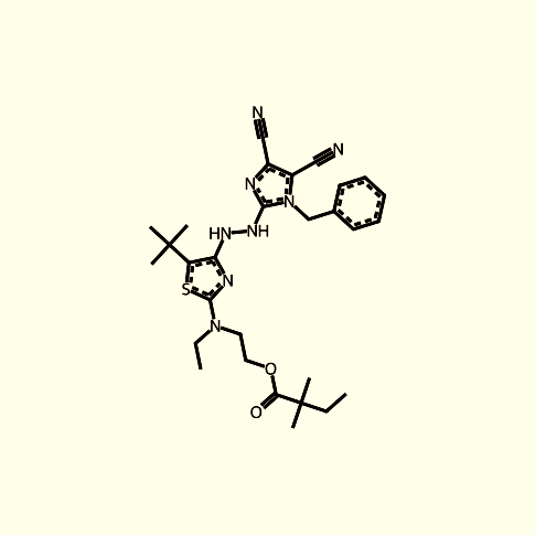 CCN(CCOC(=O)C(C)(C)CC)c1nc(NNc2nc(C#N)c(C#N)n2Cc2ccccc2)c(C(C)(C)C)s1